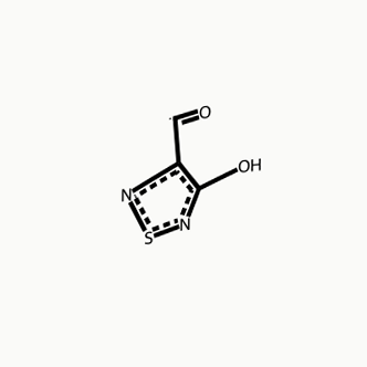 O=[C]c1nsnc1O